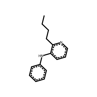 CCCCc1ncccc1Nc1ccccc1